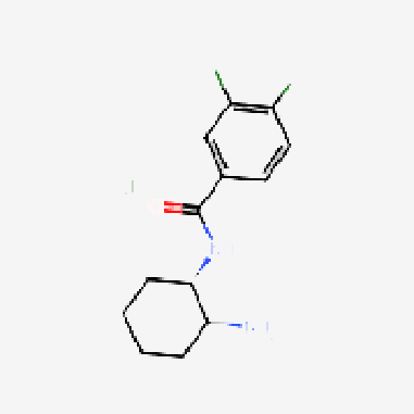 Cl.N[C@H]1CCCC[C@H]1NC(=O)c1ccc(Cl)c(Cl)c1